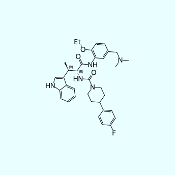 CCOc1ccc(CN(C)C)cc1NC(=O)[C@H](NC(=O)N1CCC(c2ccc(F)cc2)CC1)[C@H](C)c1c[nH]c2ccccc12